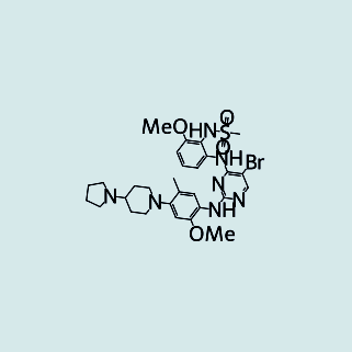 COc1cc(N2CCC(N3CCCC3)CC2)c(C)cc1Nc1ncc(Br)c(Nc2cccc(OC)c2NS(C)(=O)=O)n1